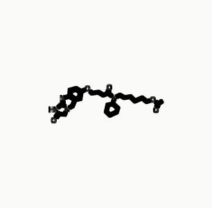 CC(=O)OCCCCCCN(C(=O)CCCOc1ccc2c(c1)CN1CC(=O)NC1=N2)C1CCCCC1